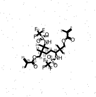 C=C(C)C(=O)OCC(C)(C)C(CCC(C)(COC(=O)C(=C)C)C(C)(C)NS(=O)(=O)C(F)(F)F)NS(=O)(=O)C(F)(F)F